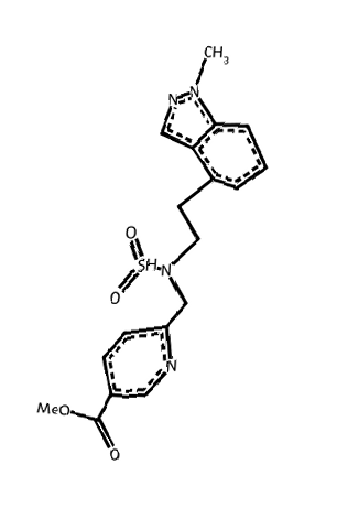 COC(=O)c1ccc(CN(CCc2cccc3c2cnn3C)[SH](=O)=O)nc1